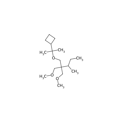 CCC(C)C(COC)(COC)COC(C)(C)C1CCC1